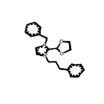 c1ccc(CCC[n+]2ccn(Cc3ccccc3)c2C2OCCO2)cc1